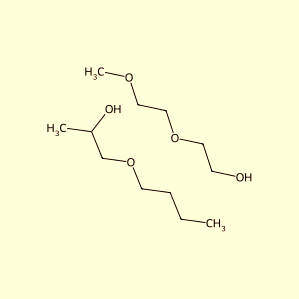 CCCCOCC(C)O.COCCOCCO